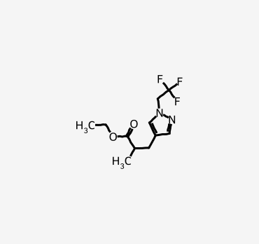 CCOC(=O)C(C)Cc1cnn(CC(F)(F)F)c1